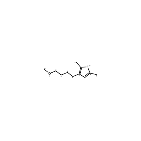 COCCCCc1cc(C)sc1C